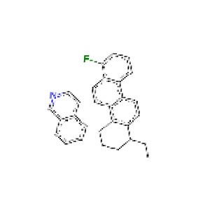 CCC1CCCc2c1ccc1c2ccc2c(F)cccc21.c1ccc2cnccc2c1